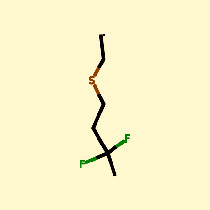 [CH2]CSCCC(C)(F)F